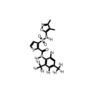 [2H]c1c(C([2H])([2H])[2H])cc(C(C)=O)c(N([2H])C(=O)c2sccc2S(=O)(=O)N([2H])c2onc(C)c2C)c1C([2H])([2H])[2H]